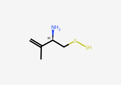 C=C(C)[C@@H](N)CSS